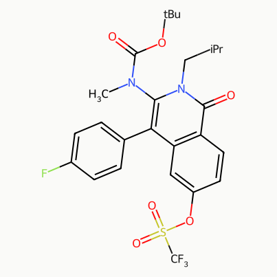 CC(C)Cn1c(N(C)C(=O)OC(C)(C)C)c(-c2ccc(F)cc2)c2cc(OS(=O)(=O)C(F)(F)F)ccc2c1=O